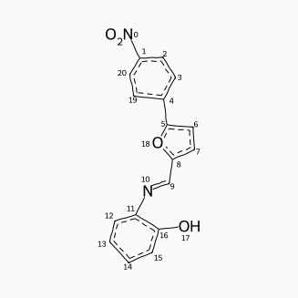 O=[N+]([O-])c1ccc(-c2ccc(C=Nc3ccccc3O)o2)cc1